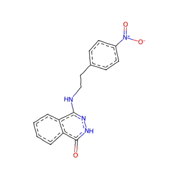 O=c1[nH]nc(NCCc2ccc([N+](=O)[O-])cc2)c2ccccc12